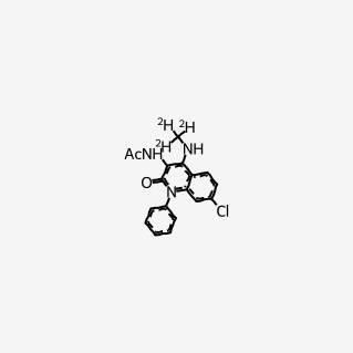 [2H]C([2H])([2H])Nc1c(NC(C)=O)c(=O)n(-c2ccccc2)c2cc(Cl)ccc12